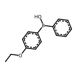 C[CH]Oc1ccc(B(O)c2ccccc2)cc1